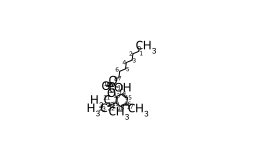 CCCCCCCCOP(=O)(O)Oc1ccc(C)cc1C(C)(C)C